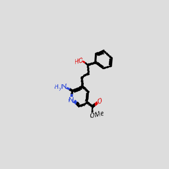 COC(=O)c1cnc(N)c(CCC(O)c2ccccc2)c1